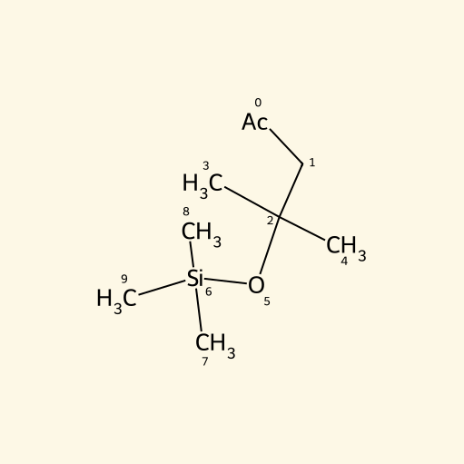 CC(=O)CC(C)(C)O[Si](C)(C)C